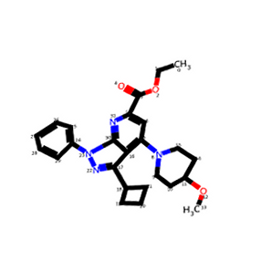 CCOC(=O)c1cc(N2CCC(OC)CC2)c2c(C3CCC3)nn(-c3ccccc3)c2n1